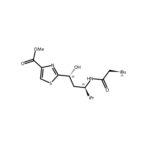 CC[C@H](C)CC(=O)N[C@H](C[C@@H](O)c1nc(C(=O)OC)cs1)C(C)C